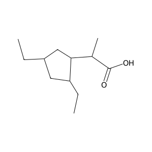 CCC1CC(CC)C(C(C)C(=O)O)C1